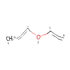 C=COC=C.[CH]